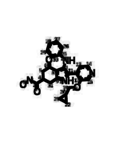 O=NC(=O)C1CC(=O)c2c([nH]c(-c3ccncc3OCC3CC3)c2Nc2ccccc2)C1